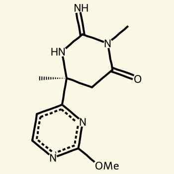 COc1nccc([C@]2(C)CC(=O)N(C)C(=N)N2)n1